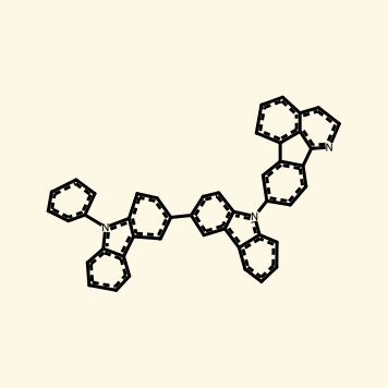 c1ccc(-n2c3ccccc3c3cc(-c4ccc5c(c4)c4ccccc4n5-c4ccc5c(c4)-c4cccc6ccnc-5c46)ccc32)cc1